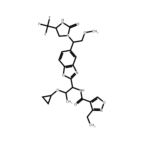 CCc1nocc1C(=O)NC(c1nc2cc(C(COC)N3CC(C(F)(F)F)NC3=O)ccc2o1)C(C)OC1CC1